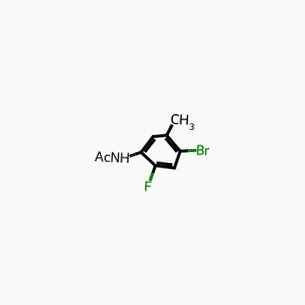 CC(=O)Nc1cc(C)c(Br)cc1F